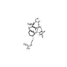 Cc1oc(=O)oc1COC(=O)C(CC(C)C)NC(=O)Oc1ccc(CCON(O)O)cc1